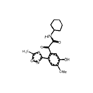 COc1cc(-c2noc(C)n2)c(C(=O)C(=O)NC2CCCCC2)cc1O